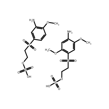 COc1cc(S(=O)(=O)CCOS(=O)(=O)O)c(OC)cc1N.COc1ccc(S(=O)(=O)CCOS(=O)(=O)O)cc1N